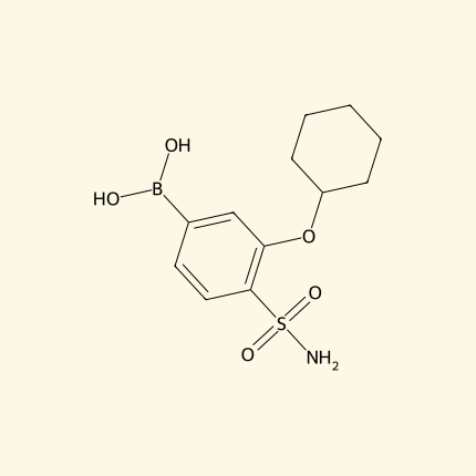 NS(=O)(=O)c1ccc(B(O)O)cc1OC1CCCCC1